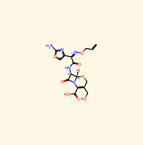 C=CCO/N=C(\C(=O)N[C@@H]1C(=O)N2C(C(=O)O)=C(CO)CS[C@@H]12)c1csc(N)n1